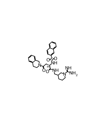 N=C(N)N1CCCC(CNC(=O)[C@@H](CC(=O)N2CCc3ccccc3C2)NS(=O)(=O)c2ccc3ccccc3c2)C1